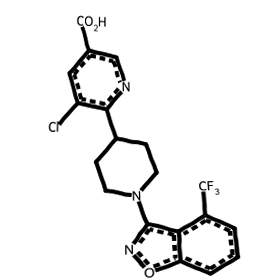 O=C(O)c1cnc(C2CCN(c3noc4cccc(C(F)(F)F)c34)CC2)c(Cl)c1